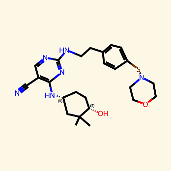 CC1(C)C[C@H](Nc2nc(NCCc3ccc(SN4CCOCC4)cc3)ncc2C#N)CC[C@@H]1O